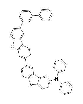 c1ccc(-c2cccc(-c3ccc4oc5cc(-c6ccc7sc8ccc(N(c9ccccc9)c9ccccc9)cc8c7c6)ccc5c4c3)c2)cc1